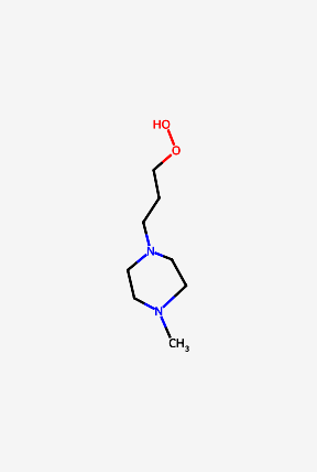 CN1CCN(CCCOO)CC1